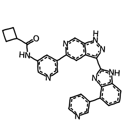 O=C(Nc1cncc(-c2cc3c(-c4nc5c(-c6cccnc6)cccc5[nH]4)n[nH]c3cn2)c1)C1CCC1